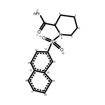 CCCC(=O)C1CCCCN1S(=O)(=O)c1ccc2ccccc2c1